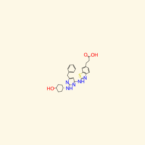 O=C(O)CCc1ccc2nc(Nc3cc(Cc4ccccc4)nc(N[C@H]4CC[C@H](O)CC4)n3)sc2c1